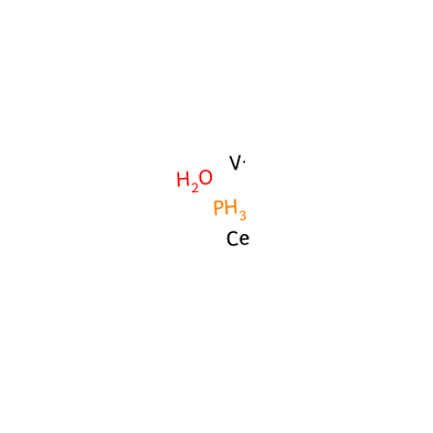 O.P.[Ce].[V]